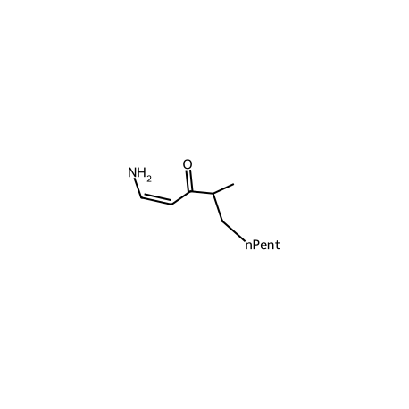 CCCCCCC(C)C(=O)/C=C\N